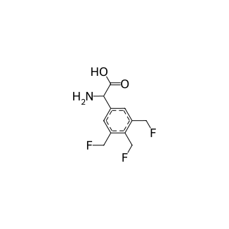 NC(C(=O)O)c1cc(CF)c(CF)c(CF)c1